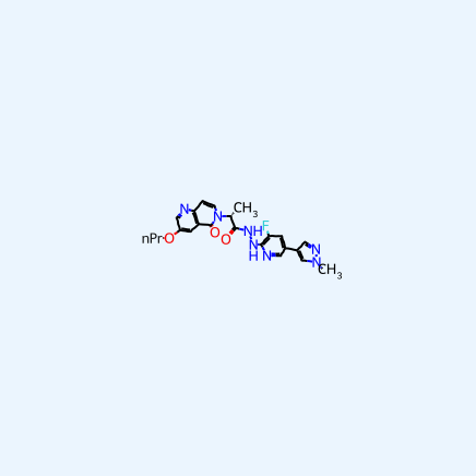 CCCOc1cnc2ccn([C@H](C)C(=O)NNc3ncc(-c4cnn(C)c4)cc3F)c(=O)c2c1